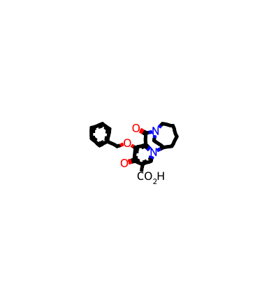 O=C(O)c1cn2c(c(OCc3ccccc3)c1=O)C(=O)N1CCCCC2C1